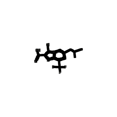 CC(C)Cc1cc(C(F)(F)F)c2nc(C(=O)O)c(Cl)n2c1